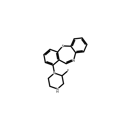 FC1CNCCN1c1cccc2c1C=Nc1ccccc1S2